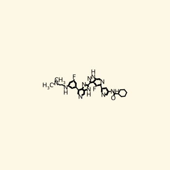 CN(C)CCNc1cc(F)cc(-c2cncc3[nH]c(-c4n[nH]c5cnc(-c6cncc(NC(=O)C7CCCCC7)c6)c(F)c45)nc23)c1